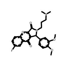 COc1ccc(C2c3c(oc4ccc(F)cc4c3=O)C(=O)N2CCCN(C)C)cc1OC